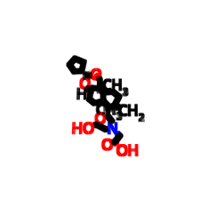 C=C1CCC2[C@]3(C)CO[C@@H](C4CCCC4)O[C@@H]3CC[C@@]2(C)[C@@H]1CCN(CC(=O)O)CC(=O)O